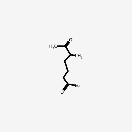 CC(=O)C(C)CCC[C](=O)[Eu]